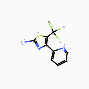 Nc1nc(-c2ccccn2)c(C(F)(F)F)s1